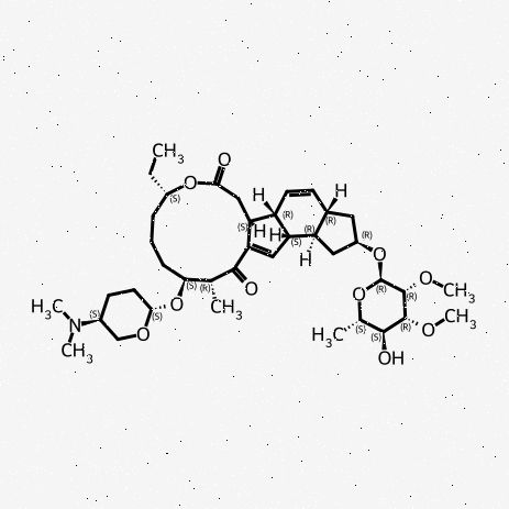 CC[C@H]1CCC[C@H](O[C@H]2CC[C@H](N(C)C)CO2)[C@@H](C)C(=O)C2=C[C@@H]3[C@@H](C=C[C@@H]4C[C@@H](O[C@@H]5O[C@@H](C)[C@H](O)[C@@H](OC)[C@H]5OC)C[C@@H]34)[C@@H]2CC(=O)O1